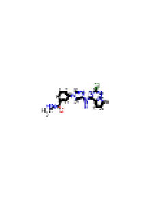 CNC(=O)c1cccc(-n2cnc(Nc3nc(Cl)nn4cccc34)c2)c1